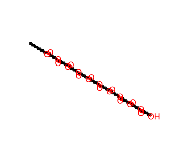 CCCCCCCCCCCCOC(=O)CCCCCOC(=O)CCCCCOC(=O)CCCCCOC(=O)CCCCCOC(=O)CCCCCOC(=O)CCCCCOC(=O)CCCCCOC(=O)CCCCCOC(=O)CCCCCOC(=O)CCCCCO